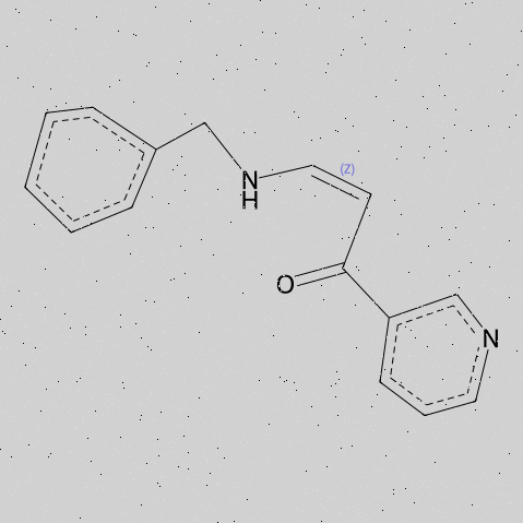 O=C(/C=C\NCc1ccccc1)c1cccnc1